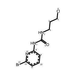 O=C(NCCCCl)Nc1cccc(Br)n1